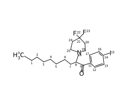 CCCCCCCCC(C(=O)c1ccc(I)cc1)N1CCC(F)(F)CC1